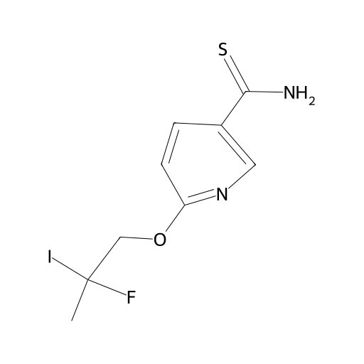 CC(F)(I)COc1ccc(C(N)=S)cn1